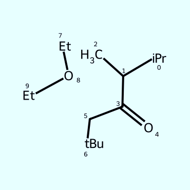 CC(C)C(C)C(=O)CC(C)(C)C.CCOCC